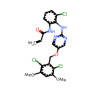 C=CC(=O)Nc1cccc(Cl)c1Nc1ncc(OCc2c(Cl)c(OC)cc(OC)c2Cl)cn1